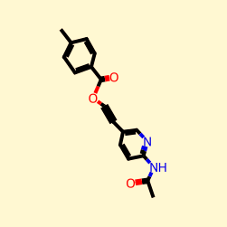 CC(=O)Nc1ccc(C#COC(=O)c2ccc(C)cc2)cn1